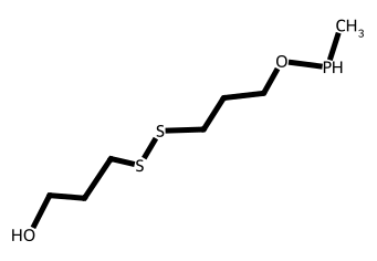 CPOCCCSSCCCO